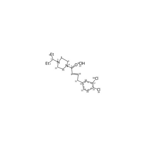 CCC(CC)N1CCN(C(=O)C=CCc2ccc(Cl)c(Cl)c2)CC1.Cl